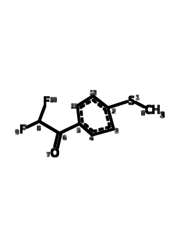 CSc1ccc(C(=O)C(F)F)cc1